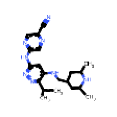 CC1CC(CNc2cc(Nc3cnc(C#N)cn3)nnc2C(C)C)CC(C)N1